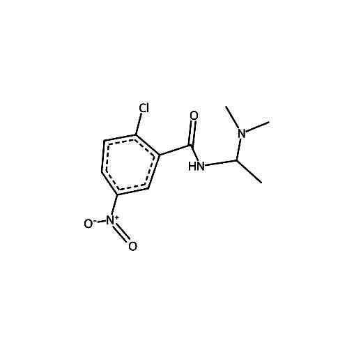 CC(NC(=O)c1cc([N+](=O)[O-])ccc1Cl)N(C)C